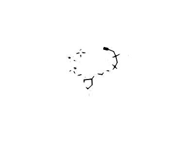 B[C@H]1CC(OCSSC(C)(C)CC(C)(C)CC#C)[C@@H](COP(=O)(O)OP(=O)(O)OP(=O)(O)O)O1